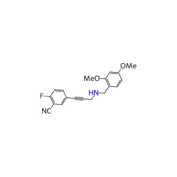 COc1ccc(CNCC#Cc2ccc(F)c(C#N)c2)c(OC)c1